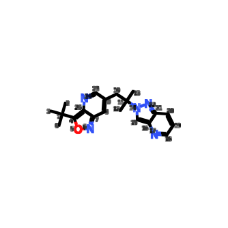 CC(C)(C)c1onc2cc(CC(C)(C)n3cc4ncccc4n3)cnc12